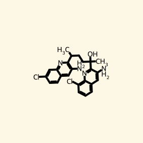 CC(CCC(C)(O)c1nc2c(Cl)cccc2cc1N)c1nc2cc(Cl)ccc2cc1N